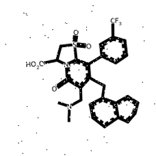 CN(C)Cc1c(Cc2cccc3ccccc23)c(-c2cccc(C(F)(F)F)c2)c2n(c1=O)C(C(=O)O)CS2(=O)=O